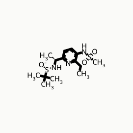 CCc1nc([C@@H](C)N[S@+]([O-])C(C)(C)C)ccc1NS(C)(=O)=O